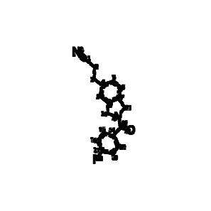 N#CCCc1ccc2c(c1)CN(C(=O)c1ccc(F)cc1)C2